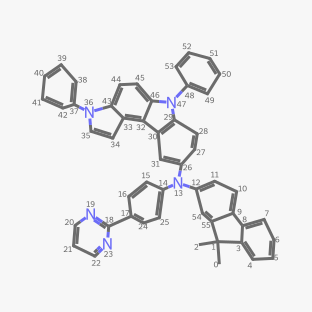 CC1(C)c2ccccc2-c2ccc(N(c3ccc(-c4ncccn4)cc3)c3ccc4c(c3)c3c5ccn(-c6ccccc6)c5ccc3n4-c3ccccc3)cc21